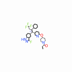 C=CC(=O)N1CCC(Oc2ccc(/C(=C(/CC(F)(F)F)c3ccccc3)c3ccc4[nH]nc(F)c4c3)cn2)CC1